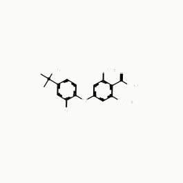 COC(=O)c1c(OC)cc(Nc2ccc(C(C)(C)C#N)cc2N)cc1OC